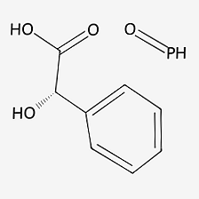 O=C(O)[C@@H](O)c1ccccc1.O=P